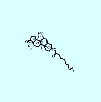 CCCCCCC(=O)O[C@H]1CC[C@@]2(C)C(=CC(O)[C@@H]3[C@@H]2CC[C@]2(C)C(=O)CC[C@@H]32)C1